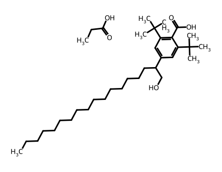 CCC(=O)O.CCCCCCCCCCCCCCCCC(CO)c1cc(C(C)(C)C)c(C(=O)O)c(C(C)(C)C)c1